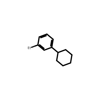 [CH2]Cc1cccc(C2CCCCC2)c1